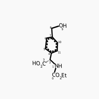 CCOC(=O)N[C@H](C(=O)O)c1ccc(CO)cc1